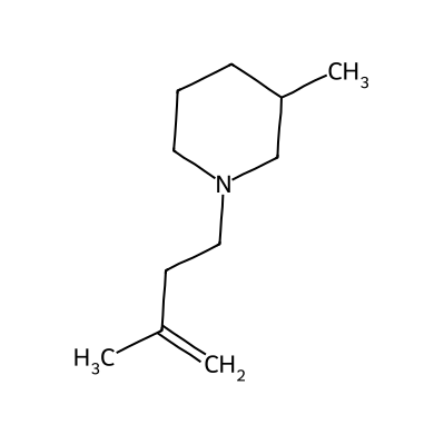 C=C(C)CCN1CCCC(C)C1